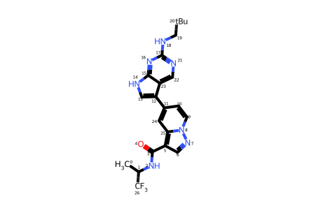 CC(NC(=O)c1cnn2ccc(-c3c[nH]c4nc(NCC(C)(C)C)ncc34)cc12)C(F)(F)F